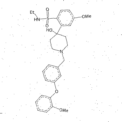 CCNS(=O)(=O)c1ccc(OC)cc1C1(O)CCN(Cc2cccc(Oc3ccccc3OC)c2)CC1